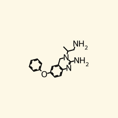 CC(CN)N1Cc2cc(Oc3ccccc3)ccc2N=C1N